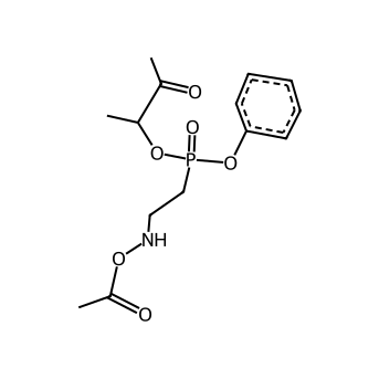 CC(=O)ONCCP(=O)(Oc1ccccc1)OC(C)C(C)=O